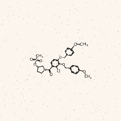 COc1ccc(COc2ccc(C(=O)N3CCC(OS(C)(=O)=O)C3)c(Cl)c2OCc2ccc(OC)cc2)cc1